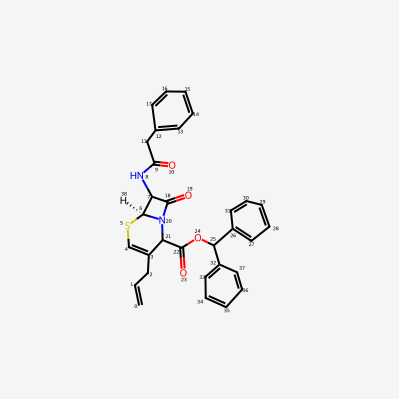 C=CCC1=CS[C@H]2C(NC(=O)Cc3ccccc3)C(=O)N2C1C(=O)OC(c1ccccc1)c1ccccc1